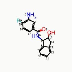 Nc1cc(C(=O)NC2c3ccccc3CC2O)ccc1F